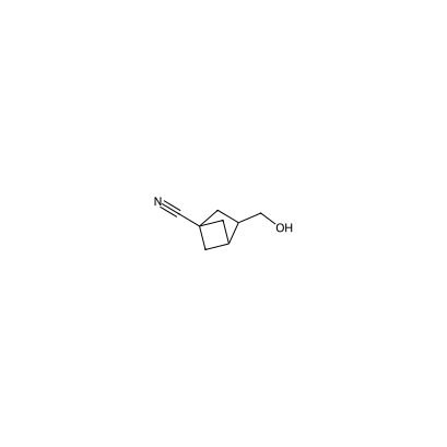 N#CC12CC(CO)C(C1)C2